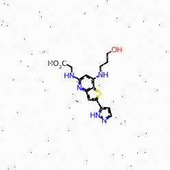 O=C(O)CNc1cc(NCCCO)c2sc(-c3ccn[nH]3)cc2n1